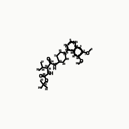 COc1cc2ncnc(N3CCC(NC(=O)[C@@H](NC(=O)OC(C)(C)C)C(C)C)CC3)c2cc1OC